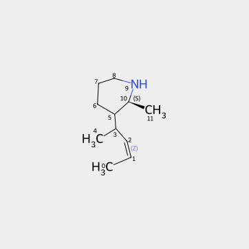 C/C=C\C(C)C1CCCN[C@H]1C